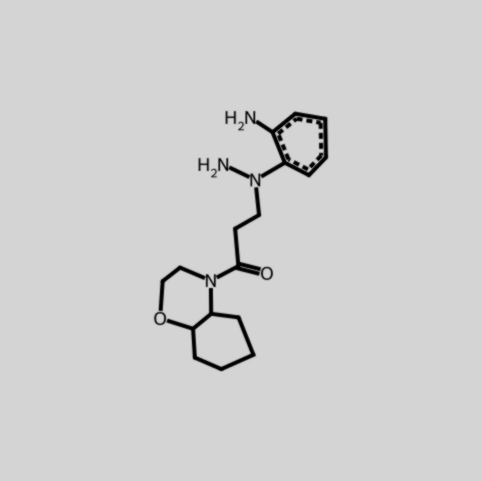 Nc1ccccc1N(N)CCC(=O)N1CCOC2CCCCC21